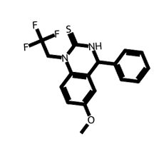 COc1ccc2c(c1)C(c1ccccc1)NC(=S)N2CC(F)(F)F